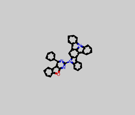 c1ccc(-c2nc(-n3c4ccccc4c4c5c6ccccc6n6c7ccccc7c(cc43)c56)nc3oc4ccccc4c23)cc1